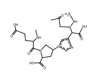 BBN(CC(C)=O)C(C(=O)O)c1cn(C2CC(C(=O)O)N(C(=O)C(CCC(=O)O)NC)C2)nn1